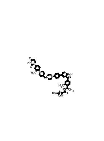 Cc1cc(-c2n[nH]c3ncc(-c4ccc(N5CCN(CC6CCN(c7ccc(N8CCC(=O)NC8=O)cc7C)CC6)CC5)cc4)cc23)ccc1C(C)NC(=O)c1noc(C(C)(C)C)n1